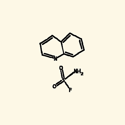 NS(=O)(=O)F.c1ccc2ncccc2c1